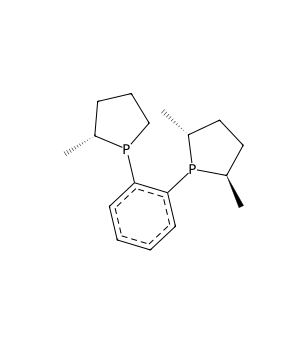 C[C@@H]1CCCP1c1ccccc1P1[C@H](C)CC[C@H]1C